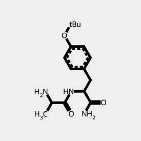 CC(N)C(=O)NC(Cc1ccc(OC(C)(C)C)cc1)C(N)=O